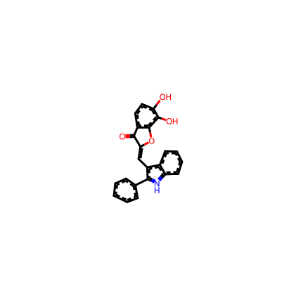 O=C1C(=Cc2c(-c3ccccc3)[nH]c3ccccc23)Oc2c1ccc(O)c2O